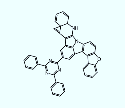 C1=CC2Nc3c(c4cc(-c5nc(-c6ccccc6)nc(-c6ccccc6)n5)cc5c6c7c(ccc6n3c45)oc3ccccc37)C3=CC32C=C1